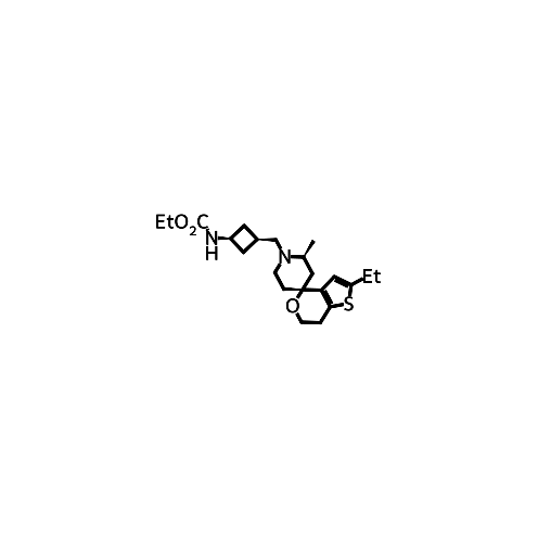 CCOC(=O)N[C@H]1C[C@@H](CN2CC[C@]3(C[C@@H]2C)OCCc2sc(CC)cc23)C1